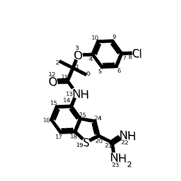 CC(C)(Oc1ccc(Cl)cc1)C(=O)Nc1cccc2sc(C(=N)N)cc12